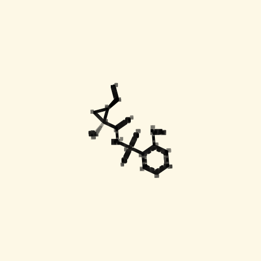 C=C[C@@H]1C[C@@]1(C(=O)NS(=O)(=O)c1ccccc1NC(C)=O)C(C)(C)C